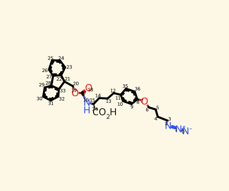 [N-]=[N+]=NCCCCOc1ccc(CCC[C@H](NC(=O)OCC2c3ccccc3-c3ccccc32)C(=O)O)cc1